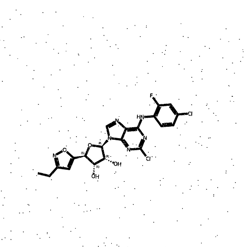 CCc1cc([C@H]2O[C@@H](n3cnc4c(Nc5ccc(Cl)cc5F)nc(Cl)nc43)[C@H](O)[C@@H]2O)on1